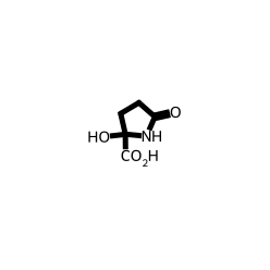 O=C1CCC(O)(C(=O)O)N1